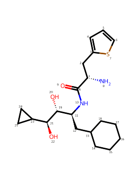 N[C@@H](Cc1cccs1)C(=O)N[C@@H](CC1CCCCC1)[C@@H](O)[C@@H](O)C1CC1